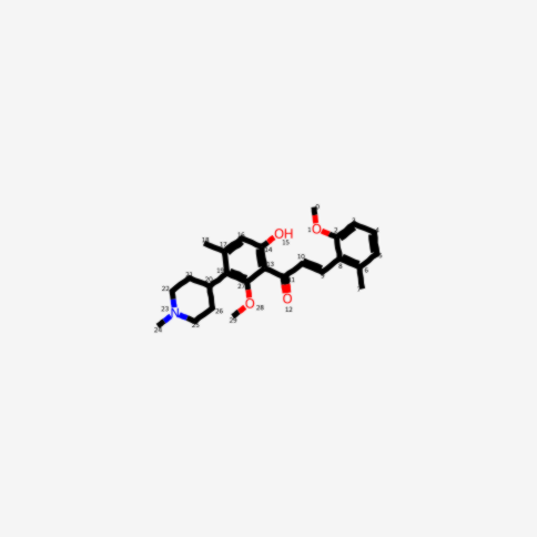 COc1cccc(C)c1/C=C/C(=O)c1c(O)cc(C)c(C2CCN(C)CC2)c1OC